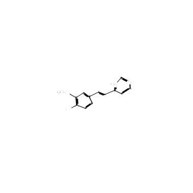 COc1cc(C=Cc2ccncn2)ccc1O